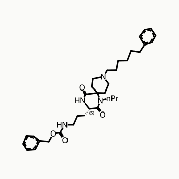 CCCN1C(=O)[C@H](CCCNC(=O)OCc2ccccc2)NC(=O)C12CCN(CCCCCCc1ccccc1)CC2